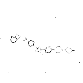 C=C1CCC(N2CCN(c3ccc(-c4nnc(-c5ccc(C(=O)On6nnc7ccccc76)cc5)s4)cc3)CC2)CC1